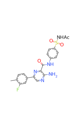 CC(=O)NS(=O)(=O)c1ccc(NC(=O)c2nc(-c3ccc(C)c(F)c3)cnc2N)cc1